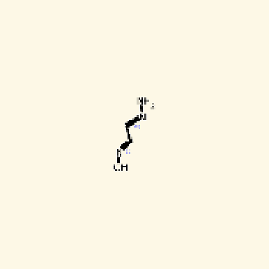 N/N=C/C=N/O